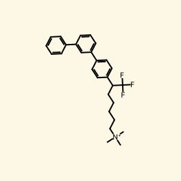 C[N+](C)(C)CCCCCC(c1ccc(-c2cccc(-c3ccccc3)c2)cc1)C(F)(F)F